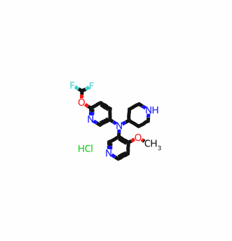 COc1ccncc1N(c1ccc(OC(F)F)nc1)C1CCNCC1.Cl